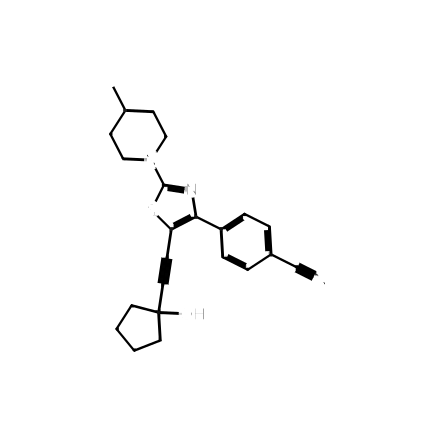 CC1CCN(c2nc(-c3ccc(C#N)cc3)c(C#CC3(O)CCCC3)s2)CC1